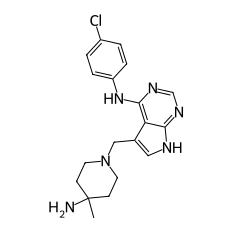 CC1(N)CCN(Cc2c[nH]c3ncnc(Nc4ccc(Cl)cc4)c23)CC1